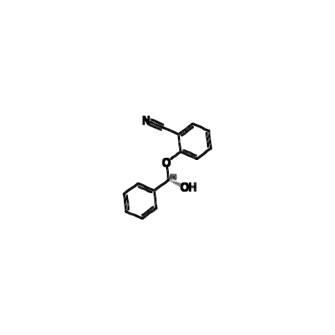 N#Cc1ccccc1O[C@H](O)c1ccccc1